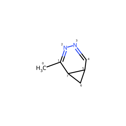 CC1=NN=CC2CC12